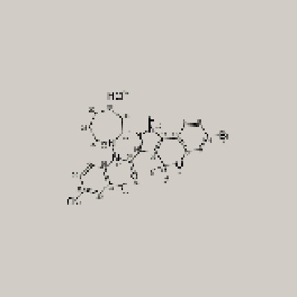 CC1(C)Oc2cc(Br)ccc2-c2[nH]nc(C(=O)N(c3ccc(Cl)cc3Cl)N3CCCCCC3)c21.Cl